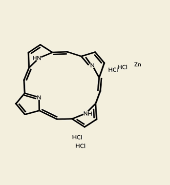 C1=Cc2cc3ccc(cc4nc(cc5ccc(cc1n2)[nH]5)C=C4)[nH]3.Cl.Cl.Cl.Cl.[Zn]